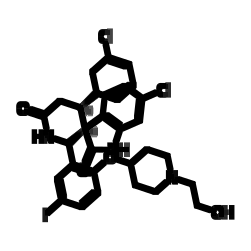 O=C1C[C@@H](C2C=CC=C(Cl)C2)[C@]2(C(=O)Nc3cc(Cl)ccc32)C(c2cc(I)ccc2OC2CCN(CCO)CC2)N1